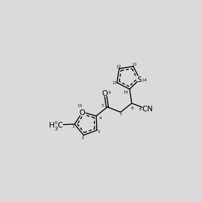 Cc1ccc(C(=O)CC(C#N)c2cccs2)o1